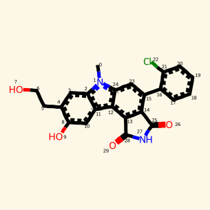 Cn1c2cc(CCO)c(O)cc2c2c3c(c(-c4ccccc4Cl)cc21)C(=O)NC3=O